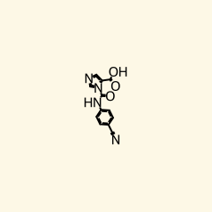 N#Cc1ccc(NC(=O)n2cncc2C(=O)O)cc1